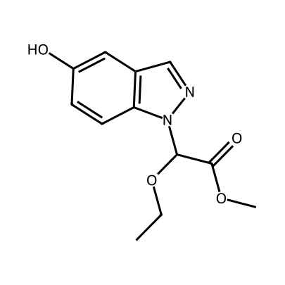 CCOC(C(=O)OC)n1ncc2cc(O)ccc21